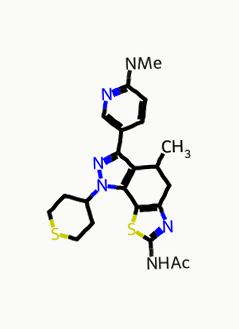 CNc1ccc(-c2nn(C3CCSCC3)c3c2C(C)Cc2nc(NC(C)=O)sc2-3)cn1